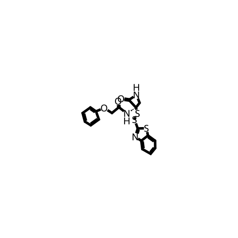 O=C(COc1ccccc1)N[C@@]1(SSc2nc3ccccc3s2)CNC1=O